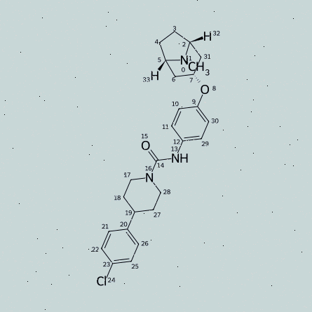 CN1[C@@H]2CC[C@H]1C[C@@H](Oc1ccc(NC(=O)N3CCC(c4ccc(Cl)cc4)CC3)cc1)C2